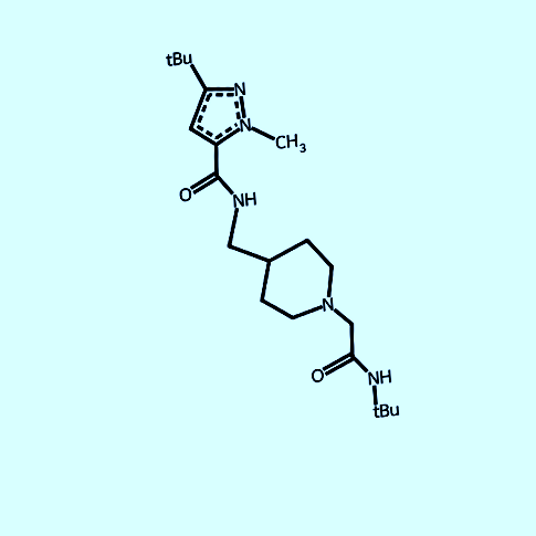 Cn1nc(C(C)(C)C)cc1C(=O)NCC1CCN(CC(=O)NC(C)(C)C)CC1